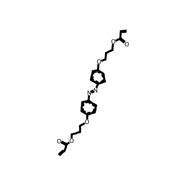 C=CC(=O)OCCCOc1ccc(N=Nc2ccc(OCCCOC(=O)C=C)cc2)cc1